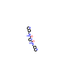 O=C(N/N=C/c1ccc2ncccc2c1)c1cccc(C(=O)N/N=C/c2ccc3ncccc3c2)n1